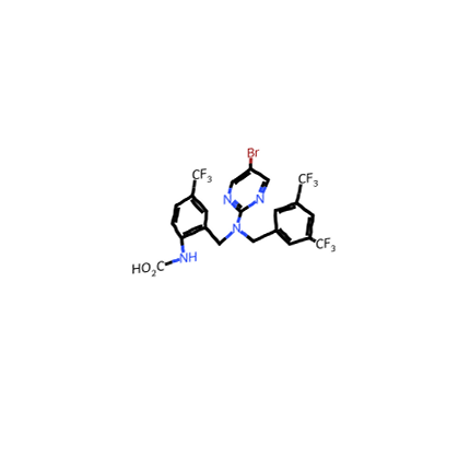 O=C(O)Nc1ccc(C(F)(F)F)cc1CN(Cc1cc(C(F)(F)F)cc(C(F)(F)F)c1)c1ncc(Br)cn1